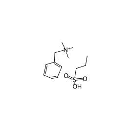 CCCS(=O)(=O)O.C[N+](C)(C)Cc1ccccc1